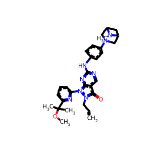 C=CCn1c(=O)c2cnc(Nc3ccc(N4CC5CC(C4)N5C)cc3)nc2n1-c1cccc(C(C)(C)OC)n1